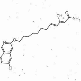 CC(/C=C/CCCCCCCOc1cc2cc(Cl)ccc2cn1)=C\C(N)=O